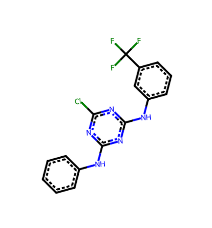 FC(F)(F)c1cccc(Nc2nc(Cl)nc(Nc3ccccc3)n2)c1